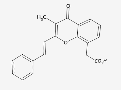 Cc1c(/C=C/c2ccccc2)oc2c(CC(=O)O)cccc2c1=O